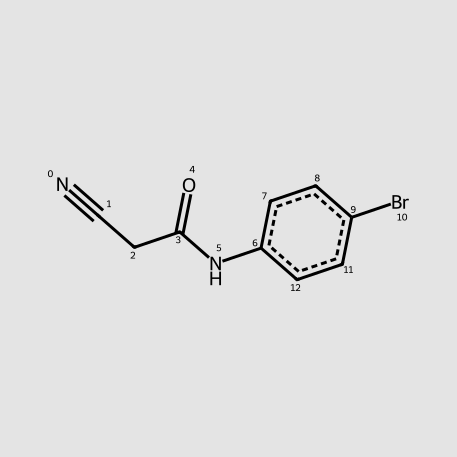 N#CCC(=O)Nc1ccc(Br)cc1